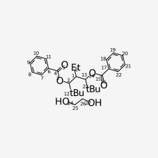 CCC(C(OC(=O)c1ccccc1)C(C)(C)C)C(OC(=O)c1ccccc1)C(C)(C)C.OCCO